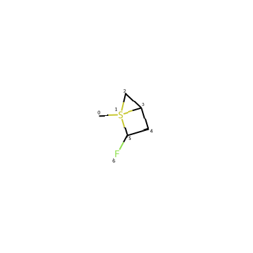 CS12CC1CC2F